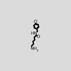 NCCCCCC(=O)NCc1ccc(Cl)cc1